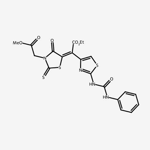 CCOC(=O)C(=C1SC(=S)N(CC(=O)OC)C1=O)c1csc(NC(=O)Nc2ccccc2)n1